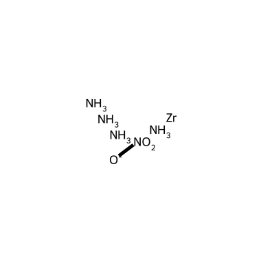 N.N.N.N.O=[N+]([O-])[O-].[Zr]